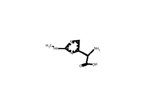 CNc1nc(C(N)C(=O)O)cs1